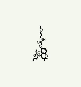 CCCN(C1CC(C)(C)Oc2ccc(OCC(=O)NCCCOCC)cc21)S(=O)(=O)CC